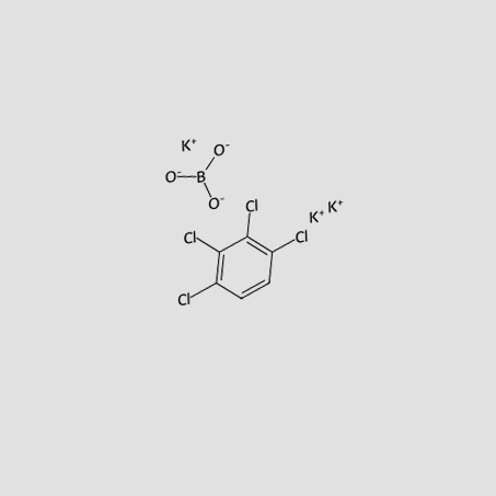 Clc1ccc(Cl)c(Cl)c1Cl.[K+].[K+].[K+].[O-]B([O-])[O-]